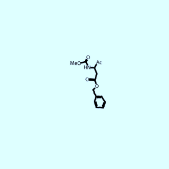 COC(=O)NC(CC(=O)OCc1ccccc1)C(C)=O